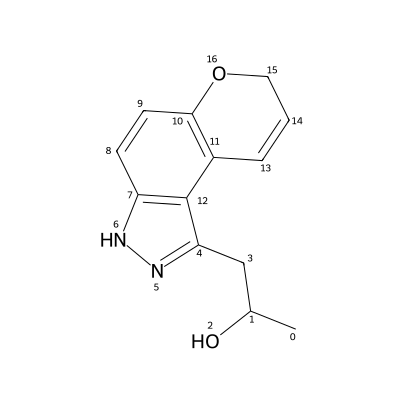 CC(O)Cc1n[nH]c2ccc3c(c12)C=CCO3